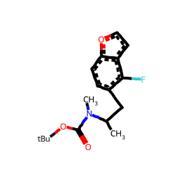 CC(Cc1ccc2occc2c1F)N(C)C(=O)OC(C)(C)C